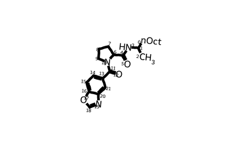 CCCCCCCCC(C)NC(=O)C1CCCN1C(=O)c1ccc2ocnc2c1